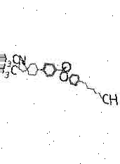 CCCCCCCc1ccc(OC(=O)c2ccc(C3CCC(C#N)(CC(C)CC)CC3)cc2)cc1